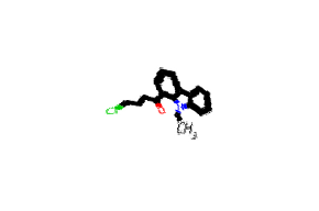 CCn1c2ccccc2c2cccc(C(=O)CCCCl)c21